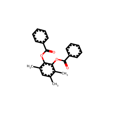 Cc1cc(C)c(OC(=O)c2ccccc2)c(OC(=O)c2ccccc2)c1C